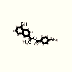 CCC(C)c1ccc(C(=O)OC(C)c2ccc3c(S)cccc3c2)cc1